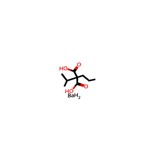 CCCC(C(=O)O)(C(=O)O)C(C)C.[BaH2]